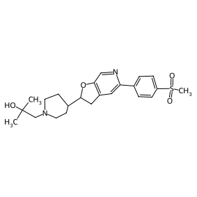 CC(C)(O)CN1CCC(C2Cc3cc(-c4ccc(S(C)(=O)=O)cc4)ncc3O2)CC1